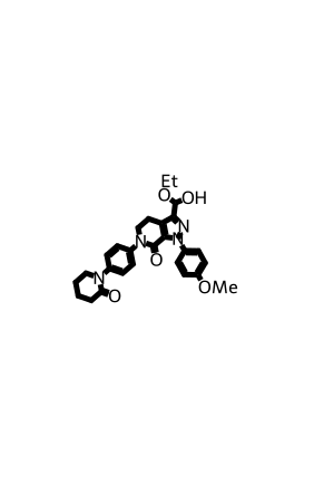 CCOC(O)c1nn(-c2ccc(OC)cc2)c2c1CCN(c1ccc(N3CCCCC3=O)cc1)C2=O